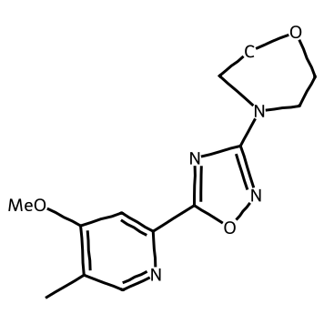 COc1cc(-c2nc(N3CCOCC3)no2)ncc1C